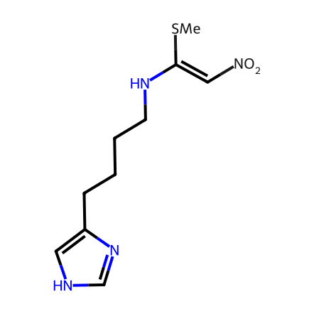 CSC(=C[N+](=O)[O-])NCCCCc1c[nH]cn1